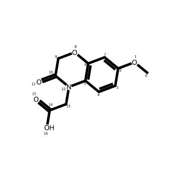 COc1ccc2c(c1)OCC(=O)N2CC(=O)O